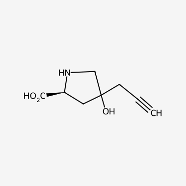 C#CCC1(O)CN[C@H](C(=O)O)C1